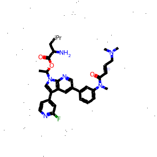 CC(C)CC(N)C(=O)OC(C)n1cc(-c2ccnc(F)c2)c2cc(-c3cccc(N(C)C(=O)/C=C/CN(C)C)c3)cnc21